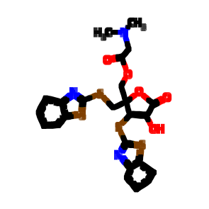 CN(C)CC(=O)OCC1(CSc2nc3ccccc3s2)OC(=O)C(O)=C1Sc1nc2ccccc2s1